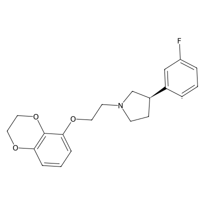 Fc1cc[c]c([C@H]2CCN(CCOc3cccc4c3OCCO4)C2)c1